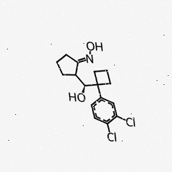 ON=C1CCCC1[C@H](O)C1(c2ccc(Cl)c(Cl)c2)CCC1